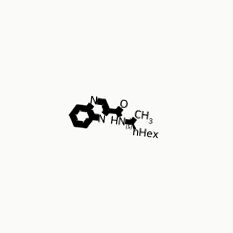 [CH2]CCCCC[C@H](C)NC(=O)c1cnc2ccccc2n1